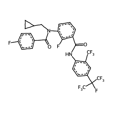 O=C(Nc1ccc(C(F)(C(F)(F)F)C(F)(F)F)cc1C(F)(F)F)c1cccc(N(CC2CC2)C(=O)c2ccc(F)cc2)c1F